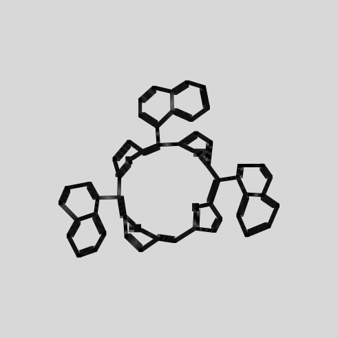 C1=Cc2nc1cc1ccc([nH]1)c(-c1cccc3ccccc13)c1nc(c(-c3cccc4ccccc34)c3ccc([nH]3)c2-c2cccc3ccccc23)C=C1